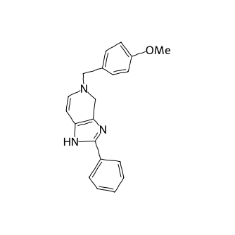 COc1ccc(CN2C=Cc3[nH]c(-c4ccccc4)nc3C2)cc1